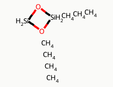 C.C.C.C.C.C.C.O1[SiH2]O[SiH2]1